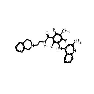 Cc1cc(Nc2c(F)c(C)c(F)c(C(=O)NCCN3CCc4ccccc4C3)c2F)c2ccccc2n1